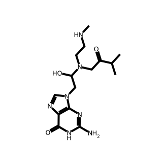 CNCCN(CC(=O)C(C)C)C(O)Cn1cnc2c(=O)[nH]c(N)nc21